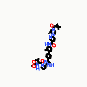 COC(=O)N[C@H](C(=O)N1CCC[C@H]1c1nc(-c2ccc(-c3ccc(NC(=O)c4ccc(N5CCN(C(=O)[C@H]6CC6(C)C)C[C@H]5C)nc4)cc3C)cc2)c[nH]1)C(C)C